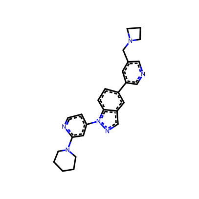 c1cc(-n2ncc3cc(-c4cncc(CN5CCC5)c4)ccc32)cc(N2CCCCC2)n1